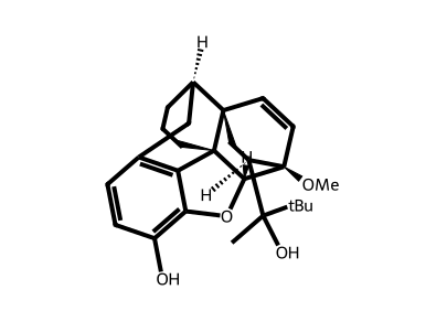 CO[C@]12C=C[C@@]3(C[C@@H]1C(C)(O)C(C)(C)C)[C@@H]1CCC[C@@]34c3c(ccc(O)c3O[C@@H]24)C1